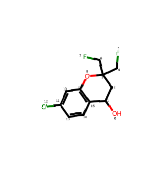 OC1CC(CF)(CF)Oc2cc(Cl)ccc21